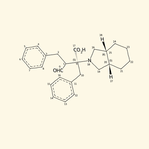 O=CC(Cc1ccccc1)[C@@](Cc1ccccc1)(C(=O)O)N1C[C@H]2CCCC[C@H]2C1